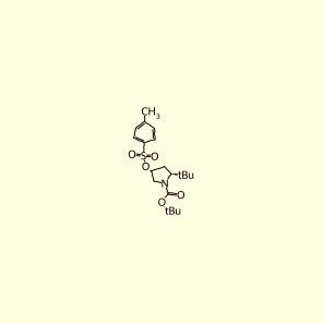 Cc1ccc(S(=O)(=O)O[C@@H]2C[C@@H](C(C)(C)C)N(C(=O)OC(C)(C)C)C2)cc1